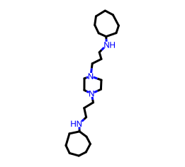 C1CCCC(NCCCN2CCN(CCCNC3CCCCCCC3)CC2)CCC1